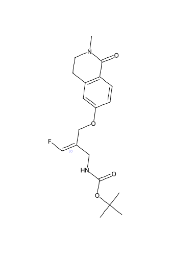 CN1CCc2cc(OC/C(=C\F)CNC(=O)OC(C)(C)C)ccc2C1=O